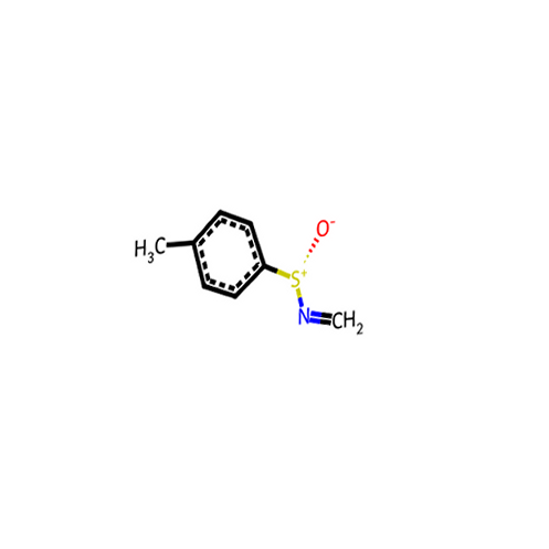 C=N[S@@+]([O-])c1ccc(C)cc1